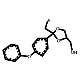 OCC1COC(CBr)(c2ccc(Oc3ccccc3)cc2)O1